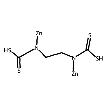 S=C(S)[N]([Zn])CC[N]([Zn])C(=S)S